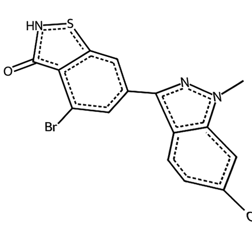 Cn1nc(-c2cc(Br)c3c(=O)[nH]sc3c2)c2ccc(Cl)cc21